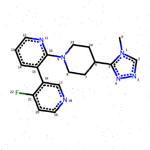 Cn1cnnc1C1CCN(c2ncccc2-c2cnccc2F)CC1